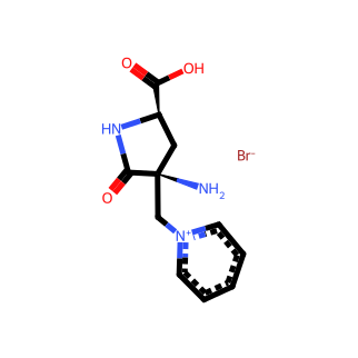 N[C@]1(C[n+]2ccccc2)C[C@H](C(=O)O)NC1=O.[Br-]